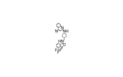 CN(C)c1cc(NC2CCC(CNC(=O)c3cccc(C(F)(F)F)c3F)CC2)nc2ccccc12